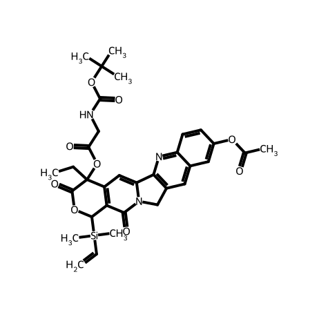 C=C[Si](C)(C)C1OC(=O)C(CC)(OC(=O)CNC(=O)OC(C)(C)C)c2cc3n(c(=O)c21)Cc1cc2cc(OC(C)=O)ccc2nc1-3